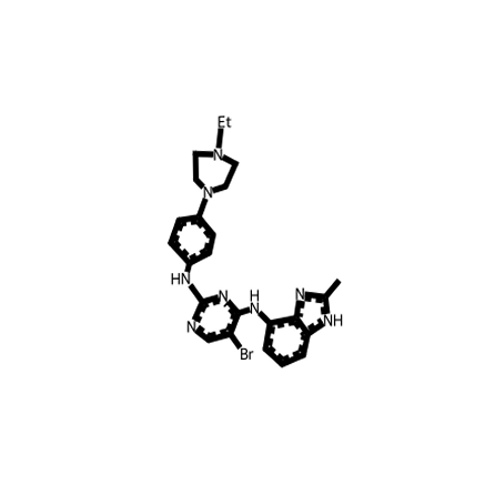 CCN1CCN(c2ccc(Nc3ncc(Br)c(Nc4cccc5[nH]c(C)nc45)n3)cc2)CC1